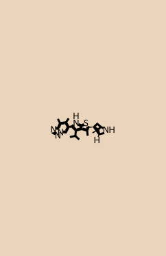 Cc1c(-c2[nH]c3sc([C@]45CC6NC[C@H]4[C@@]65C)c(C)c3c2C(C)C)cn2ncnc2c1C